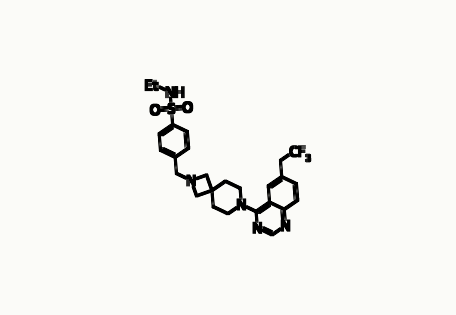 CCNS(=O)(=O)c1ccc(CN2CC3(CCN(c4ncnc5ccc(CC(F)(F)F)cc45)CC3)C2)cc1